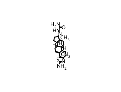 C[C@]12CCc3nc(N)sc3C1=CC[C@@H]1[C@@H]2CC[C@]2(C)/C(=N/NC(N)=O)CC[C@@H]12